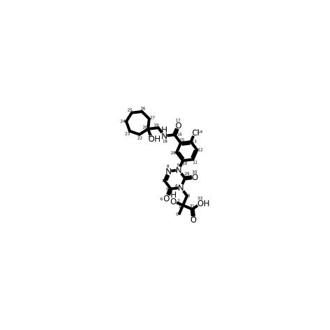 CC(O)(Cn1c(=O)cnn(-c2ccc(Cl)c(C(=O)NCC3(O)CCCCCC3)c2)c1=O)C(=O)O